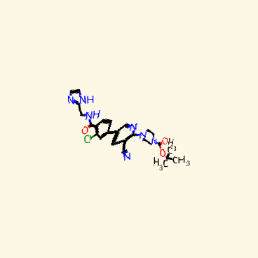 CC(C)(C)OC(=O)N1CCN(c2ncc(-c3ccc(C(=O)NCc4ncc[nH]4)c(Cl)c3)cc2C#N)CC1